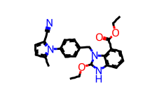 CCOC(=O)c1cccc2c1N(Cc1ccc(-n3c(C)ccc3C#N)cc1)C(OCC)N2